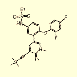 CCS(=O)(=O)Nc1ccc(Oc2ccc(F)cc2F)c(-c2cc(C#C[Si](C)(C)C)c(=O)n(C)c2)c1